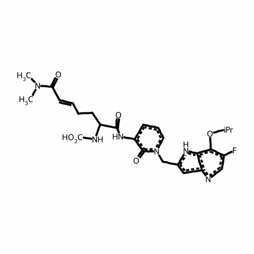 CC(C)Oc1c(F)cnc2cc(Cn3cccc(NC(=O)C(CCC=CC(=O)N(C)C)NC(=O)O)c3=O)[nH]c12